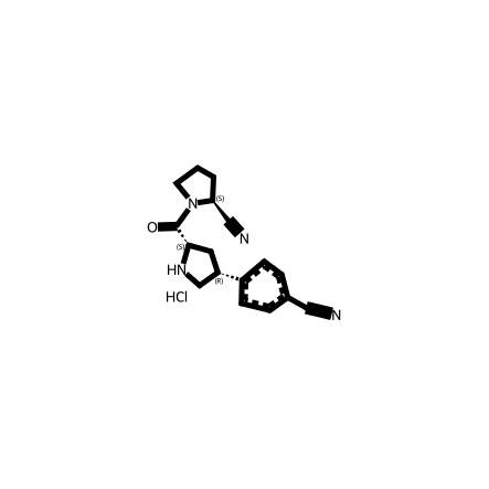 Cl.N#Cc1ccc([C@@H]2CN[C@H](C(=O)N3CCC[C@H]3C#N)C2)cc1